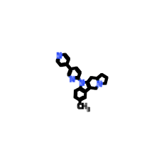 Cc1ccc2c(c1)c1c(n2-c2ccc(-c3ccncc3)cn2)CC2CCCN2C1